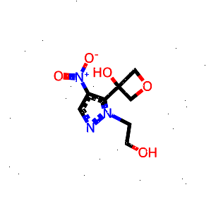 O=[N+]([O-])c1cnn(CCO)c1C1(O)COC1